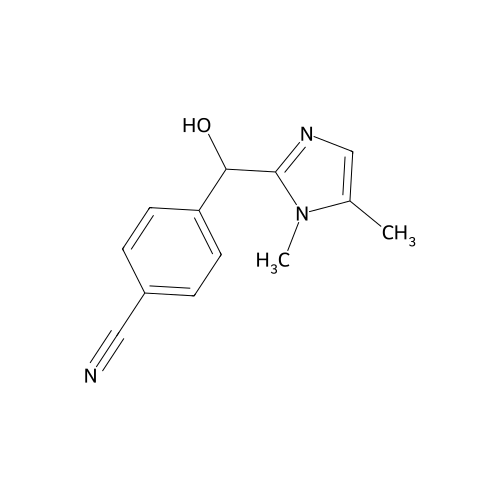 Cc1cnc(C(O)c2ccc(C#N)cc2)n1C